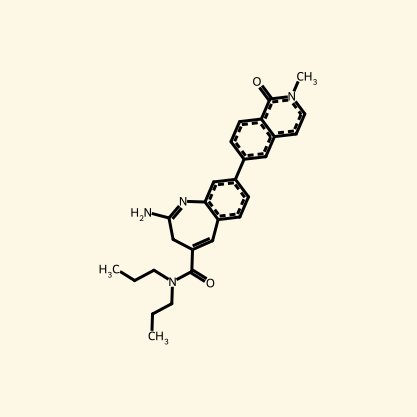 CCCN(CCC)C(=O)C1=Cc2ccc(-c3ccc4c(=O)n(C)ccc4c3)cc2N=C(N)C1